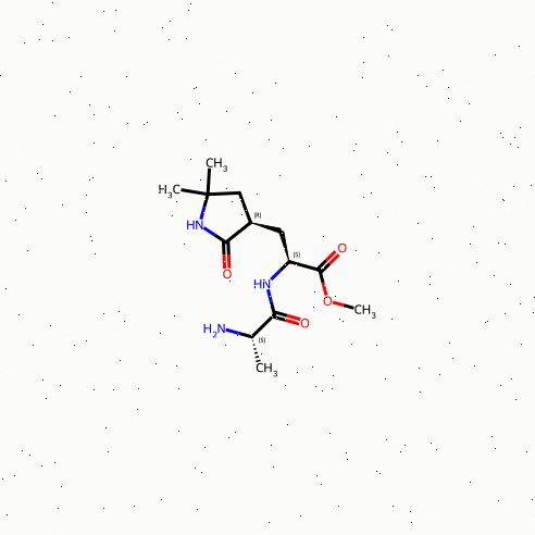 COC(=O)[C@H](C[C@@H]1CC(C)(C)NC1=O)NC(=O)[C@H](C)N